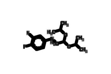 CC(C)OC(O[SiH2]c1ccc(F)c(F)c1)OC(C)C